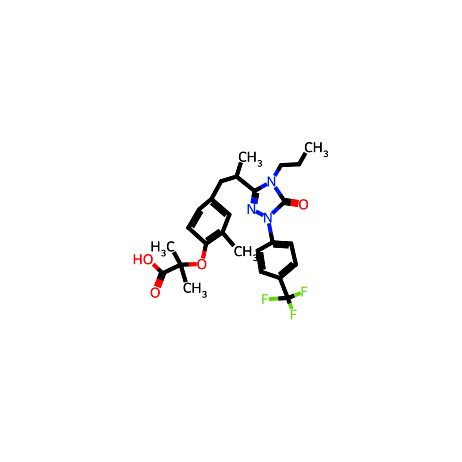 CCCn1c(C(C)Cc2ccc(OC(C)(C)C(=O)O)c(C)c2)nn(-c2ccc(C(F)(F)F)cc2)c1=O